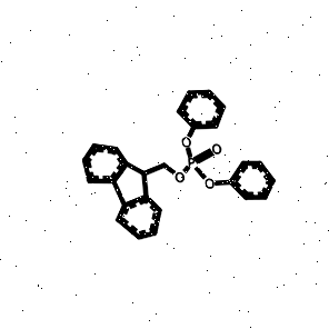 O=P(OCC1c2ccccc2-c2ccccc21)(Oc1ccccc1)Oc1ccccc1